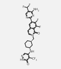 Nc1nc(-c2cc3ccn(C[C@@H]4CCC[C@H](Nc5cn[nH]c(=O)c5C(F)(F)F)C4)c(=O)c3c(F)c2F)ncc1C(F)F